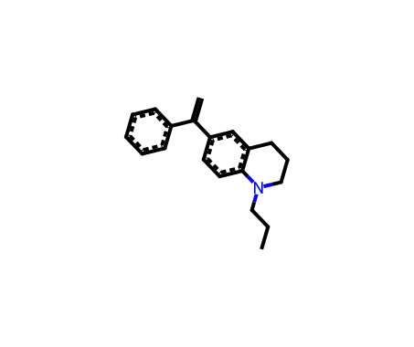 C=C(c1ccccc1)c1ccc2c(c1)CCCN2CCC